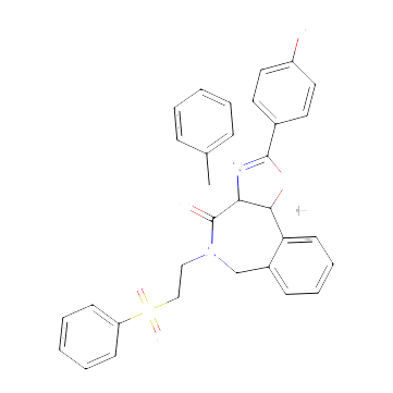 O=C1N(CCS(=O)(=O)c2ccccc2)Cc2ccccc2[C@@H]2OC(c3ccc(O)cc3)=N[C@]12Cc1ccccc1